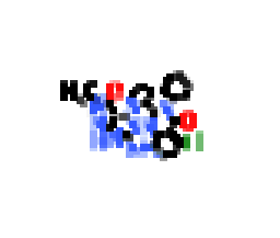 CN1CNc2nc(N)nc(N3CCCC3c3nc4cccc(Cl)c4c(=O)n3-c3ccccc3)c2C1=O